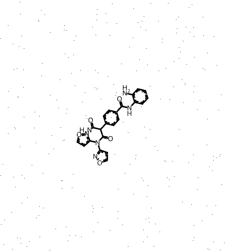 NC(=O)C(C(=O)N(c1ccon1)c1ccon1)c1ccc(C(=O)Nc2ccccc2N)cc1